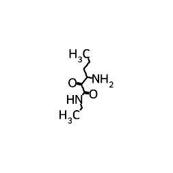 CCCC(N)C(=O)C(=O)NCC